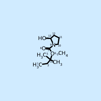 C.CCC(C)(C)OC(=O)N1CCCC1O